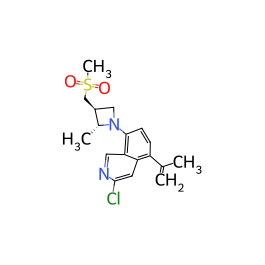 C=C(C)c1ccc(N2C[C@H](CS(C)(=O)=O)[C@H]2C)c2cnc(Cl)cc12